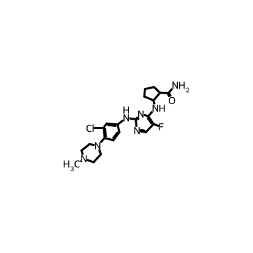 CN1CCN(c2ccc(Nc3ncc(F)c(NC4CCCC4C(N)=O)n3)cc2Cl)CC1